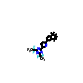 CC1(C)c2ccc(-c3ccc(-c4nc(C(F)(F)C(F)(F)F)nc(C(F)(F)C(F)(F)F)n4)cn3)cc2C(C)(C)C1(C)C